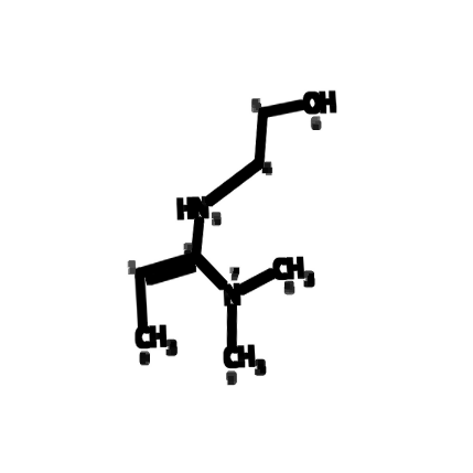 CC=C(NCCO)N(C)C